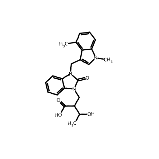 Cc1cccc2c1c(Cn1c(=O)n(CC(C(=O)O)C(C)O)c3ccccc31)cn2C